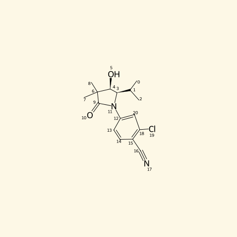 CC(C)[C@@H]1[C@H](O)C(C)(C)C(=O)N1c1ccc(C#N)c(Cl)c1